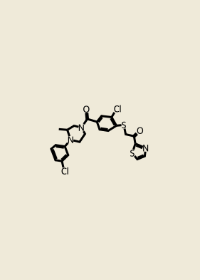 CC1CN(C(=O)c2ccc(SCC(=O)c3nccs3)c(Cl)c2)CCN1c1cccc(Cl)c1